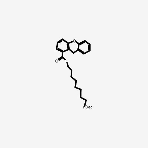 CCCCCCCCCCCCCCCCCCOC(=O)c1cccc2c1Cc1ccccc1O2